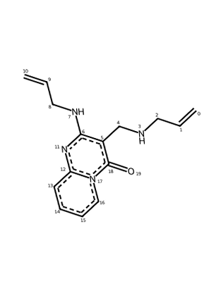 C=CCNCc1c(NCC=C)nc2ccccn2c1=O